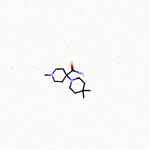 CN1CCC(C(N)=O)(N2CCC(C)(C)CC2)CC1